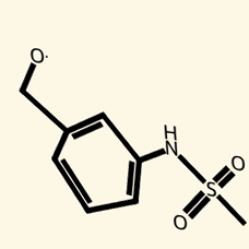 CS(=O)(=O)Nc1cccc(C[O])c1